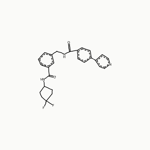 O=C(NCc1cccc(C(=O)NC2CCC(F)(F)CC2)c1)c1ccc(-c2ccncc2)cc1